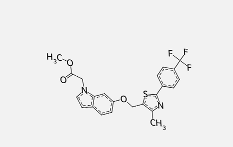 COC(=O)Cn1ccc2ccc(OCc3sc(-c4ccc(C(F)(F)F)cc4)nc3C)cc21